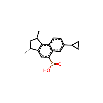 C[C@@H]1C[C@@H](C)c2c1cc(S(=O)O)c1cc(C3CC3)ccc21